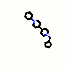 C1=CCC(C[n+]2ccc(-c3cc[n+](-c4ccccc4)cc3)cc2)=C1